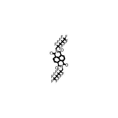 O=C1c2ccc3c4c(ccc(c24)C(=O)N1CC(F)(F)C(F)(F)C(F)(F)C(F)(F)F)C(=O)N(CC(F)(F)C(F)(F)C(F)(F)C(F)(F)F)C3=O